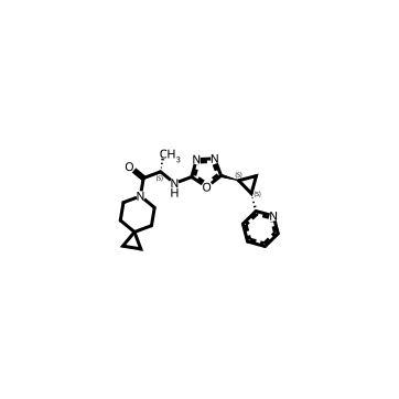 C[C@H](Nc1nnc([C@H]2C[C@@H]2c2ccccn2)o1)C(=O)N1CCC2(CC1)CC2